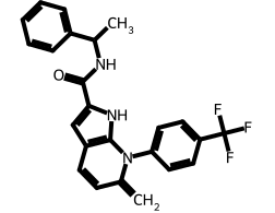 C=C1C=Cc2cc(C(=O)NC(C)c3ccccc3)[nH]c2N1c1ccc(C(F)(F)F)cc1